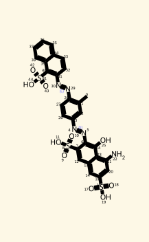 Cc1cc(/N=N/c2c(S(=O)(=O)O)cc3cc(S(=O)(=O)O)cc(N)c3c2O)ccc1/N=N/c1ccc2ccccc2c1S(=O)(=O)O